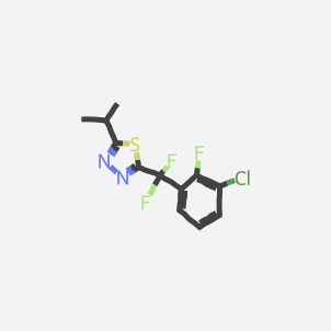 CC(C)c1nnc(C(F)(F)c2cccc(Cl)c2F)s1